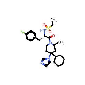 CCS(=O)(=O)N[C@@H](Cc1ccc(F)cc1)C(=O)N1CCC(C2CCCCC2)(n2ccnc2)CC1C